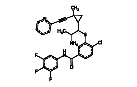 CC(N)C(Sc1cc(C(=O)Nc2cc(F)c(F)c(F)c2)ccc1Cl)C1CC1(C)C#Cc1ccccn1